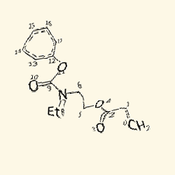 C=CC(=O)OCCN(CC)C(=O)Oc1ccccc1